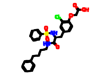 O=C(O)COc1ccc(C[C@H](NS(=O)(=O)c2ccccc2)C(=O)NCCCCc2ccccc2)cc1Cl